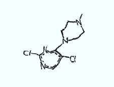 CN1CCN(c2nc(Cl)ncc2Cl)CC1